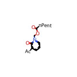 CCCCCC(=O)OCn1cccc(C(C)=O)c1=O